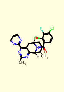 Cc1nc(-c2ncccn2)c2c(n1)[C@H]1[C@H](C)CC[C@@H](C2)N1C(=O)c1ccc(Cl)c(F)c1Cl